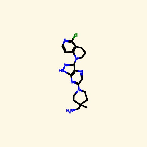 CC1(CN)CCN(c2cnc3c(N4CCCc5c4ccnc5Cl)n[nH]c3n2)CC1